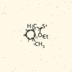 CCOC(C)=S.Cc1ccccc1